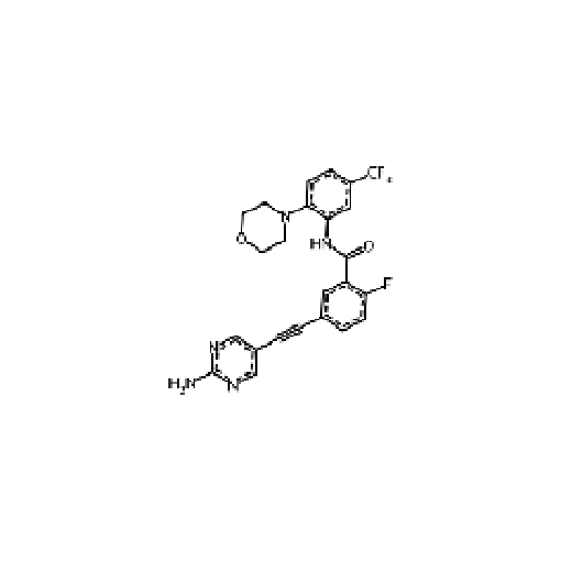 Nc1ncc(C#Cc2ccc(F)c(C(=O)Nc3cc(C(F)(F)F)ccc3N3CCOCC3)c2)cn1